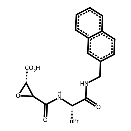 CCC[C@H](NC(=O)C1O[C@@H]1C(=O)O)C(=O)NCc1ccc2ccccc2c1